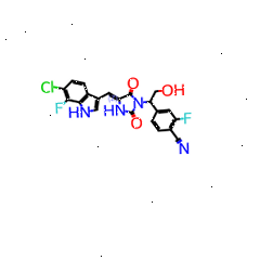 N#Cc1ccc(C(CO)N2C(=O)N/C(=C\c3c[nH]c4c(F)c(Cl)ccc34)C2=O)cc1F